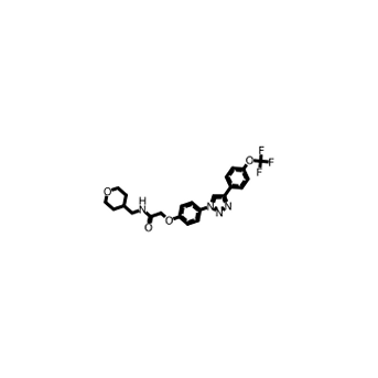 O=C(COc1ccc(-n2cc(-c3ccc(OC(F)(F)F)cc3)nn2)cc1)NCC1CCOCC1